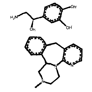 CN1CCN2c3ncccc3Cc3ccccc3C2C1.NC[C@H](O)c1ccc(O)c(O)c1